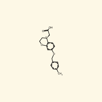 Cc1ccc(COc2ccc3c(c2)OCC[C@H]3CC(=O)O)cc1